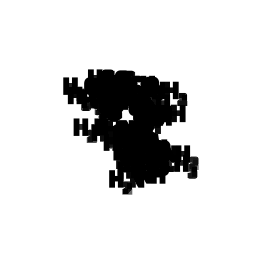 CC[C@H](C)[C@H](NC(=O)CCCCCN)C(=O)N[C@@H](CS)C(=O)N[C@H](C(=O)N[C@@H](Cc1cn(C)c2ccccc12)C(=O)N[C@@H](CCC(N)=O)C(=O)N[C@@H](CC(=O)O)C(=O)N[C@@H](Cc1c[nH]c2ccccc12)C(=O)NCC(=O)N[C@@H](C)C(=O)N[C@@H](Cc1c[nH]cn1)C(=O)N[C@@H](CCCNC(=N)N)C(=O)N[C@@H](CS)C(=O)N[C@H](C(N)=O)[C@@H](C)O)C(C)C